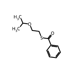 CC(C)OCCSC(=O)c1ccccc1